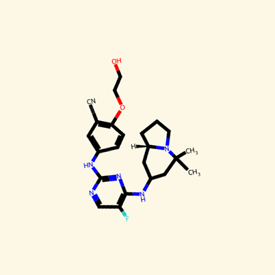 CC1(C)CC(Nc2nc(Nc3ccc(OCCO)c(C#N)c3)ncc2F)C[C@@H]2CCCN21